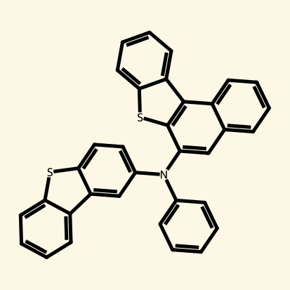 c1ccc(N(c2ccc3sc4ccccc4c3c2)c2cc3ccccc3c3c2sc2ccccc23)cc1